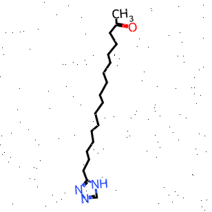 CC(=O)CCCCCCCCCCCCCCCc1nnc[nH]1